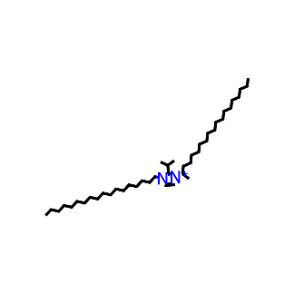 CCCCCCCCCCCCCCCCCCn1cc[n+](C(C)CCCCCCCCCCCCCCCCC)c1C(C)C